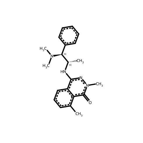 Cc1cccc2c(N[C@@H](C)[C@H](c3ccccc3)N(C)C)nn(C)c(=O)c12